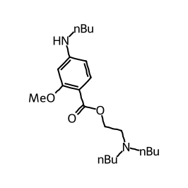 CCCCNc1ccc(C(=O)OCCN(CCCC)CCCC)c(OC)c1